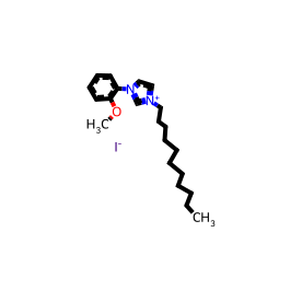 CCCCCCCCCCC[n+]1ccn(-c2ccccc2OC)c1.[I-]